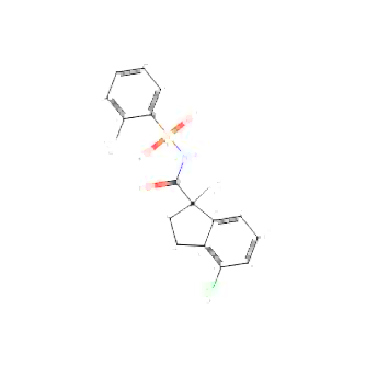 CCC1(C(=O)NS(=O)(=O)c2ccccc2C#N)CCc2c(Cl)cccc21